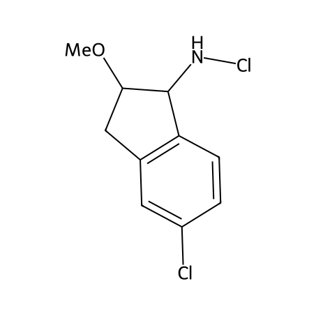 COC1Cc2cc(Cl)ccc2C1NCl